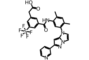 Cc1cc(C)c(-n2ccn3nc(-c4cccnc4)cc23)cc1NC(=O)c1cc(CC(=O)O)cc(S(F)(F)(F)(F)F)c1